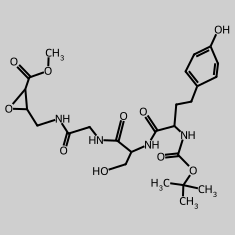 COC(=O)C1OC1CNC(=O)CNC(=O)C(CO)NC(=O)C(CCc1ccc(O)cc1)NC(=O)OC(C)(C)C